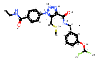 CCNC(=O)c1ccc(-n2nnc(C(=O)NCc3cccc(OC(F)F)c3)c2CSC)cc1